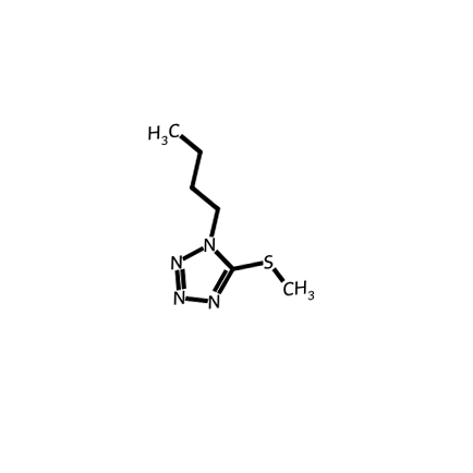 CCCCn1nnnc1SC